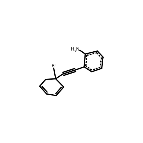 Nc1ccccc1C#CC1(Br)C=CC=CC1